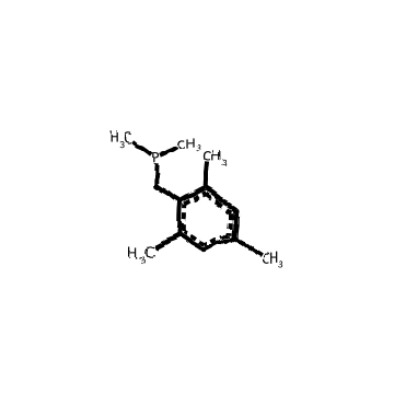 Cc1cc(C)c(CP(C)C)c(C)c1